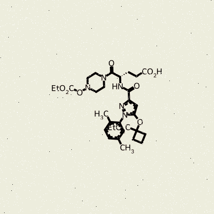 CCOC(=O)ON1CCN(C(=O)[C@H](CCC(=O)O)NC(=O)c2cc(OC3(C(=O)OCC)CCC3)n(-c3cc(C)ccc3C)n2)CC1